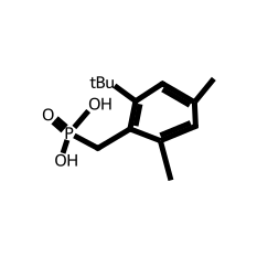 Cc1cc(C)c(CP(=O)(O)O)c(C(C)(C)C)c1